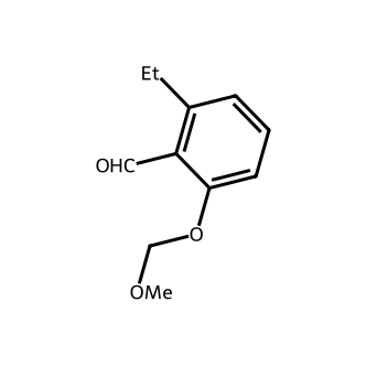 CCc1cccc(OCOC)c1C=O